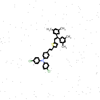 Cc1cc(C)cc(C(=Cc2ccc(C=Cc3ccc(N(c4ccc(Cl)cc4)c4ccc(Cl)cc4)cc3)s2)c2cc(C)cc(C)c2)c1